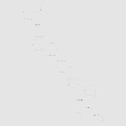 COC(=O)N[C@H](C(=O)N1CCCC1c1ncc(-c2ccc(-c3ccc4cc(NC(=O)C5CCCN5C(C)=O)ccc4n3)cc2)[nH]1)C(C)C